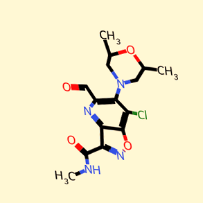 CNC(=O)c1noc2c(Cl)c(N3CC(C)OC(C)C3)c(C=O)nc12